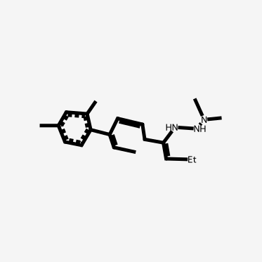 C/C=C(\C=C/C/C(=C/CC)NNN(C)C)c1ccc(C)cc1C